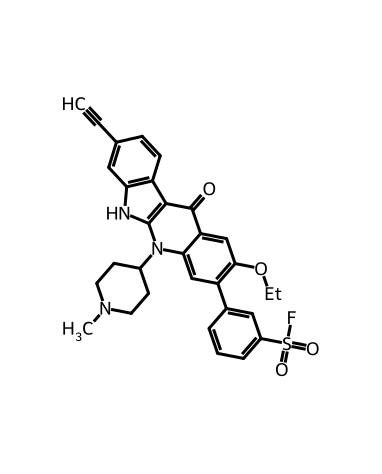 C#Cc1ccc2c(c1)[nH]c1c2c(=O)c2cc(OCC)c(-c3cccc(S(=O)(=O)F)c3)cc2n1C1CCN(C)CC1